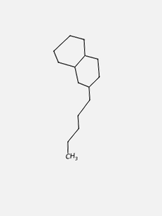 CCCCCC1CCC2CCCCC2C1